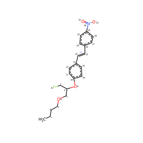 CCCCOCC(CF)Oc1ccc(/C=C/c2ccc([N+](=O)[O-])cc2)cc1